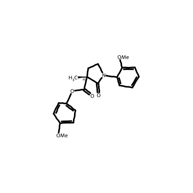 COc1ccc(OC(=O)[C@]2(C)CCN(c3ccccc3OC)C2=O)cc1